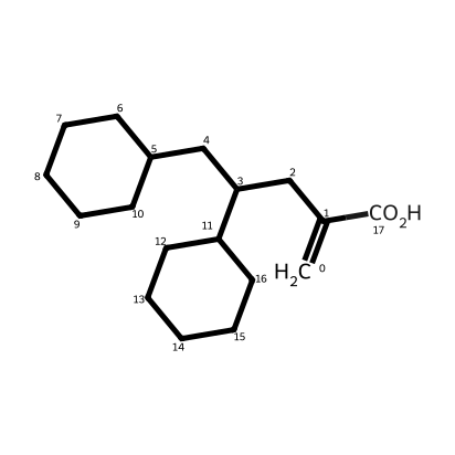 C=C(CC(CC1CCCCC1)C1CCCCC1)C(=O)O